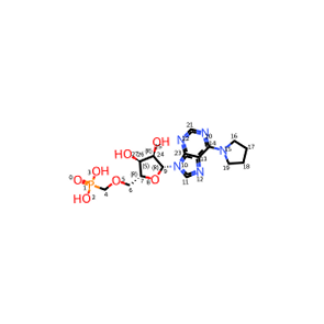 O=P(O)(O)COC[C@H]1O[C@@H](n2cnc3c(N4CCCC4)ncnc32)[C@H](O)[C@@H]1O